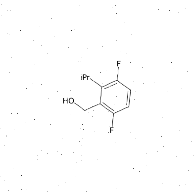 CC(C)c1c(F)ccc(F)c1CO